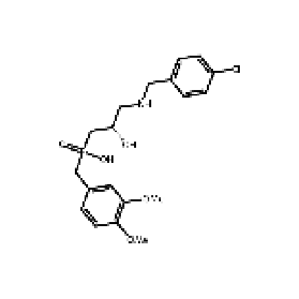 COc1ccc(CP(=O)(O)C[C@@H](O)CNCc2ccc(Cl)cc2)cc1OC